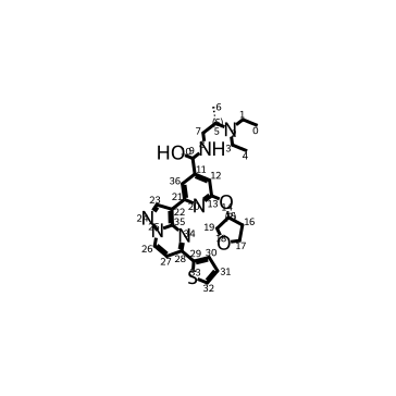 CCN(CC)[C@@H](C)CNC(O)c1cc(O[C@@H]2CCOC2)nc(-c2cnn3ccc(-c4cccs4)nc23)c1